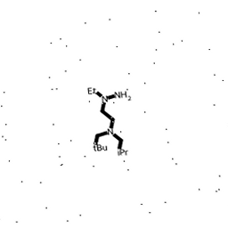 CCN(N)CCN(CC(C)C)CC(C)(C)C